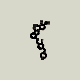 O=C1c2cccc(OCc3ccc(CN4CCOCC4)cc3F)c2CN1C1CCC(O)NC1O